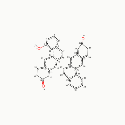 COc1cccc2ccc3cc4c(cc3c12)=CCC(=O)C=4.O=C1C=c2cc3ccc4ccccc4c3cc2=CC1